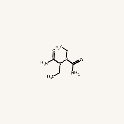 CCN(C(N)=O)N(CC)C(N)=O